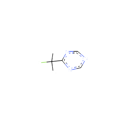 FC(F)(F)C(F)(c1ncncn1)C(F)(F)F